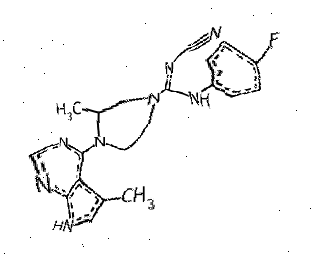 Cc1c[nH]c2ncnc(N3CCN(C(=NC#N)Nc4ccc(F)cc4)CC3C)c12